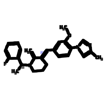 C=C1/C(=C/c2ccc(-n3cnc(C)c3)c(OC)c2)CCCN1[C@@H](C)c1ccccc1F